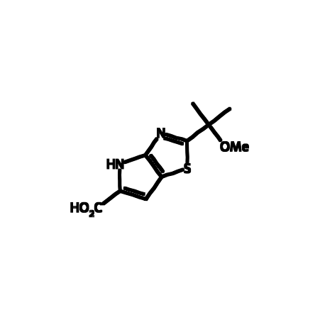 COC(C)(C)c1nc2[nH]c(C(=O)O)cc2s1